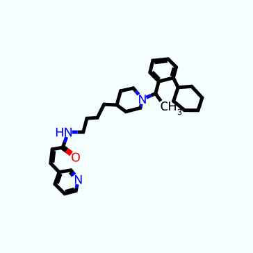 CC(c1ccccc1C1CCCCC1)N1CCC(CCCCNC(=O)/C=C\c2cccnc2)CC1